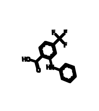 O=C(O)c1ccc(C(F)(F)F)cc1Nc1ccccc1